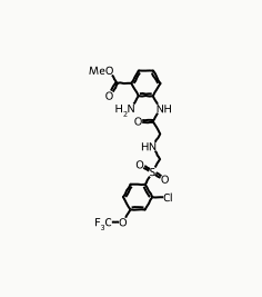 COC(=O)c1cccc(NC(=O)CNCS(=O)(=O)c2ccc(OC(F)(F)F)cc2Cl)c1N